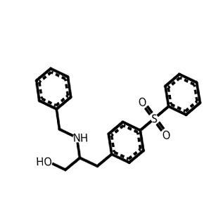 O=S(=O)(c1ccccc1)c1ccc(CC(CO)NCc2ccccc2)cc1